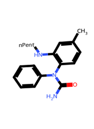 CCCCCNc1cc(C)ccc1N(C(N)=O)c1ccccc1